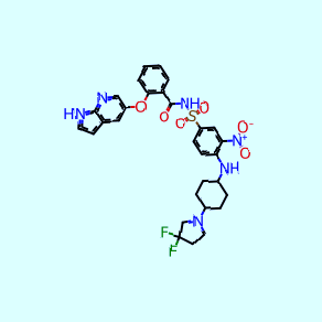 O=C(NS(=O)(=O)c1ccc(NC2CCC(N3CCC(F)(F)C3)CC2)c([N+](=O)[O-])c1)c1ccccc1Oc1cnc2[nH]ccc2c1